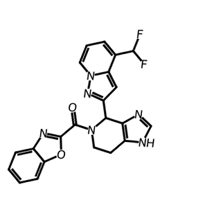 O=C(c1nc2ccccc2o1)N1CCc2[nH]cnc2C1c1cc2c(C(F)F)cccn2n1